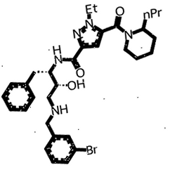 CCCC1CCCCN1C(=O)c1cc(C(=O)N[C@@H](Cc2ccccc2)[C@H](O)CNCc2cccc(Br)c2)nn1CC